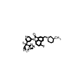 C[C@H]1CCCN(Cc2cc3c4c(ccc(F)c4c2)N(c2cncc(C(F)(c4nncn4C)C4CC4)c2)C3=O)C1